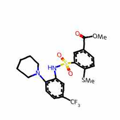 COC(=O)c1ccc(SC)c(S(=O)(=O)Nc2cc(C(F)(F)F)ccc2N2CCCCC2)c1